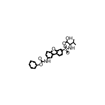 CC(C)[C@H](NS(=O)(=O)c1ccc2c(c1)oc1ccc(NC(=O)Oc3ccccc3)cc12)C(=O)O